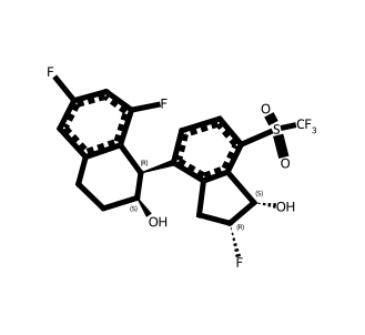 O=S(=O)(c1ccc([C@@H]2c3c(F)cc(F)cc3CC[C@@H]2O)c2c1[C@H](O)[C@H](F)C2)C(F)(F)F